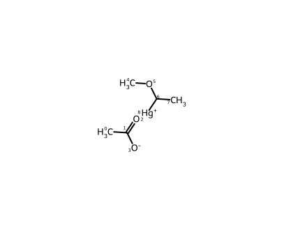 CC(=O)[O-].CO[CH](C)[Hg+]